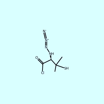 CC(C)(S)[C@H](NN=[N+]=[N-])C(=O)Cl